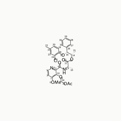 COc1ccnc(C(=O)N[C@@H](C)C(=O)O[C@@H](C)[C@H](Oc2ccc(C)cc2Cl)c2ccccc2)c1OCOC(C)=O